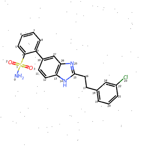 NS(=O)(=O)c1ccccc1-c1ccc2[nH]c(CCc3cccc(Cl)c3)nc2c1